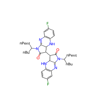 CCCCCC(CCCC)N1C(=O)C(C2C(=O)N(C(CCCC)CCCCC)C3=Nc4cc(F)ccc4NC32)C2Nc3ccc(F)cc3N=C21